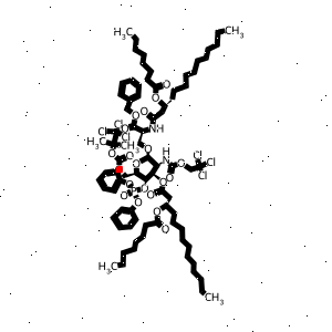 CCCCCCCCCCC[C@H](CC(=O)N[C@@H](CO[C@@H]1O[C@H](COC(=O)OC(C)(C)C(Cl)(Cl)Cl)[C@@H](OP(=O)(Oc2ccccc2)Oc2ccccc2)[C@H](OC(=O)C[C@@H](CCCCCCCCCCC)OC(=O)CCCCCCC)[C@H]1NC(=O)OCC(Cl)(Cl)Cl)C(=O)OCc1ccccc1)OC(=O)CCCCCCC